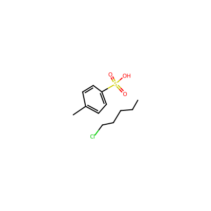 CCCCCCl.Cc1ccc(S(=O)(=O)O)cc1